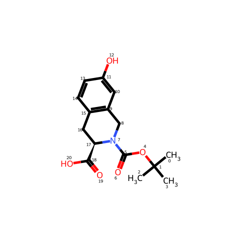 CC(C)(C)OC(=O)N1Cc2cc(O)ccc2C[C@@H]1C(=O)O